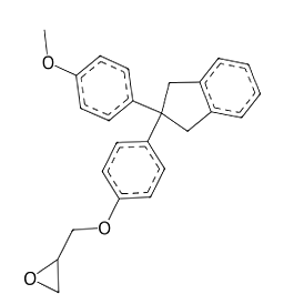 COc1ccc(C2(c3ccc(OCC4CO4)cc3)Cc3ccccc3C2)cc1